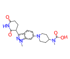 CN(C(=O)O)C1CCN(c2ccc3c(C4CCC(=O)NC4=O)nn(C)c3c2)CC1